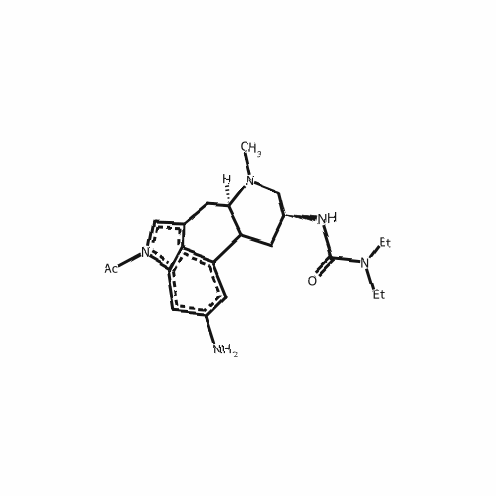 CCN(CC)C(=O)N[C@H]1CC2c3cc(N)cc4c3c(cn4C(C)=O)C[C@H]2N(C)C1